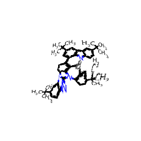 CC(C)(C)c1ccc2c(c1)B1c3c(ccc4c3n-2c2nc3ccc(C(C)(C)C)cc3n42)-c2cc(C(C)(C)C)cc3c4cc(C(C)(C)C)ccc4n1c23